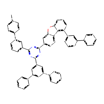 Cc1ccc(-c2cccc(-c3nc(-c4cc(-c5ccccc5)cc(-c5ccccc5)c4)nc(-c4ccc5c(c4)oc4cccc(-c6cccc(-c7ccccc7)c6)c45)n3)c2)cc1